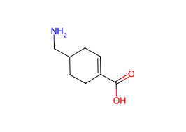 NCC1CC=C(C(=O)O)CC1